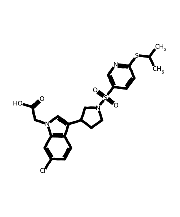 CC(C)Sc1ccc(S(=O)(=O)N2CCC(c3cn(CC(=O)O)c4cc(Cl)ccc34)C2)cn1